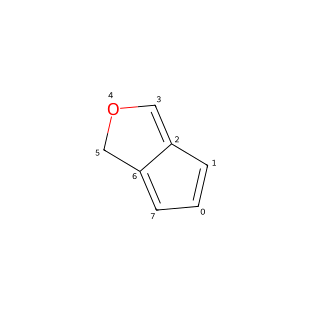 C1=CC2=COCC2=C1